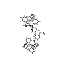 Nc1ccc(N2c3ccccc3C3(c4ccccc4-c4ccccc43)c3ccccc32)cc1-c1ccc(N2c3ccccc3C3(c4ccccc4-c4ccccc43)c3ccccc32)nc1